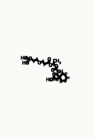 CC(OC(=O)CCOCCON(O)O)OC(=O)NCC1(CC(=O)O)CCCCC1